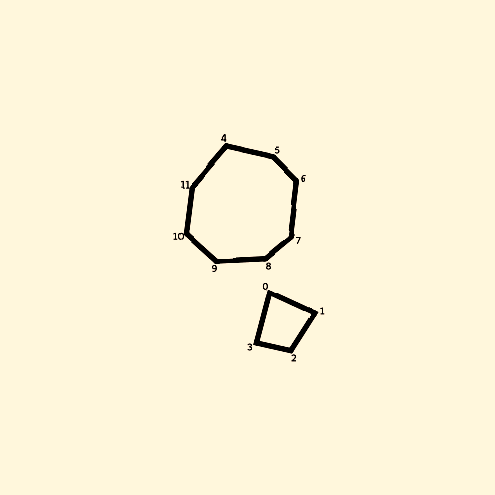 C1CCC1.C1CCCCCCC1